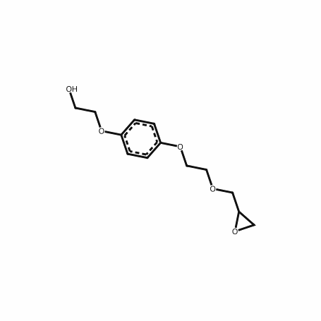 OCCOc1ccc(OCCOCC2CO2)cc1